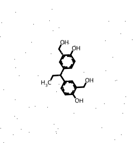 CCC(c1ccc(O)c(CO)c1)c1ccc(O)c(CO)c1